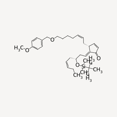 CC/C=C\C[C@H](C/C=C1/C(=O)C=C[C@H]1C/C=C\CCCCOCc1ccc(OC)cc1)O[Si](C)(C)C(C)(C)C